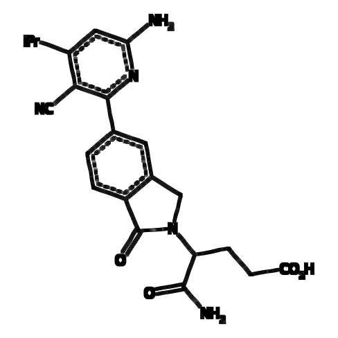 CC(C)c1cc(N)nc(-c2ccc3c(c2)CN(C(CCC(=O)O)C(N)=O)C3=O)c1C#N